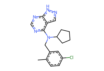 Cc1ccc(Cl)cc1CN(c1ncnc2[nH]ncc12)C1CCCC1